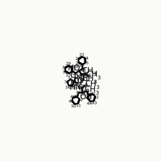 CC(C)(C)[C@@H](NC(=O)C1(C(=O)N[C@H](C(C)(C)C)C(O)(Cc2ccccc2)Cc2ccccc2)CCCC1)C(O)(Cc1ccccc1)Cc1ccccc1